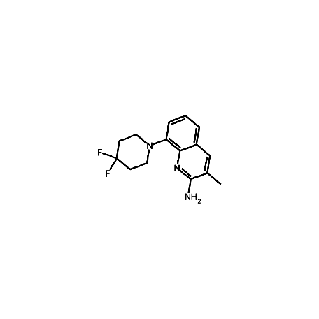 Cc1cc2cccc(N3CCC(F)(F)CC3)c2nc1N